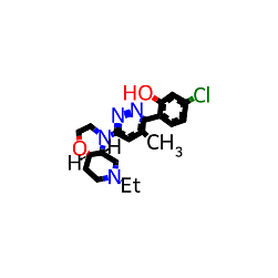 CCN1CC[C@H]2OCCN(c3cc(C)c(-c4ccc(Cl)cc4O)nn3)[C@H]2C1